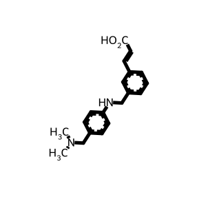 CN(C)Cc1ccc(NCc2cccc(C=CC(=O)O)c2)cc1